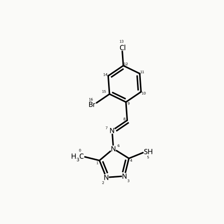 Cc1nnc(S)n1N=Cc1ccc(Cl)cc1Br